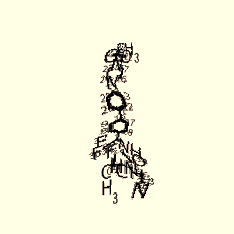 CC(C)C[C@H](NC(c1ccc(-c2ccc(N3CCN(S(C)(=O)=O)CC3)cc2)cc1)C(F)(F)F)C(=O)NCC#N